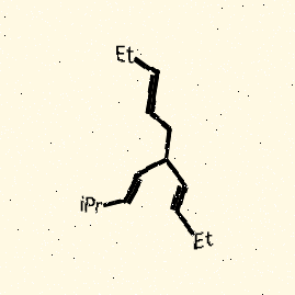 CCC=CCC(C=CCC)C=CC(C)C